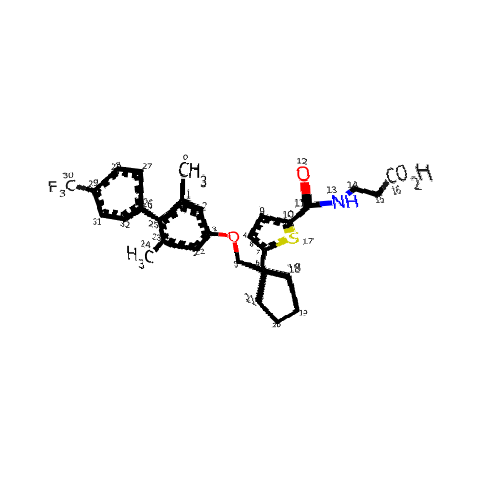 Cc1cc(OCC2(c3ccc(C(=O)NCCC(=O)O)s3)CCCC2)cc(C)c1-c1ccc(C(F)(F)F)cc1